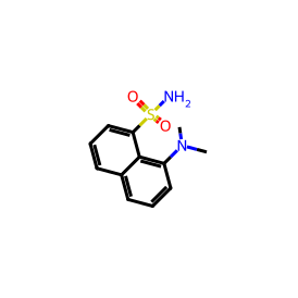 CN(C)c1cccc2cccc(S(N)(=O)=O)c12